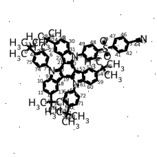 CC(C)(C)c1ccc(-n2c3ccc(C(C)(C)C)cc3c3c2c2c4cc(C(C)(C)C)ccc4n(-c4ccc(S(=O)(=O)c5ccc(C#N)cc5)cc4)c2c2c4cc(C(C)(C)C)ccc4n(-c4ccc(C(C)(C)C)cc4)c32)cc1